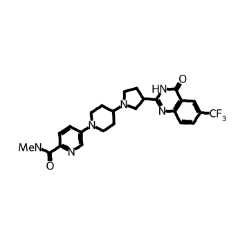 CNC(=O)c1ccc(N2CCC(N3CCC(c4nc5ccc(C(F)(F)F)cc5c(=O)[nH]4)C3)CC2)cn1